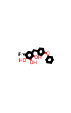 CC(C)c1cc(Cc2ccc(Oc3ccccc3)cc2)c(O)c(O)c1O